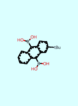 CC(C)(C)c1ccc2c(B(O)O)c3ccccc3c(B(O)O)c2c1